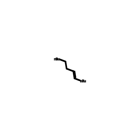 CCCC/C=[C]/CCCCCC